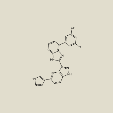 Oc1cc(F)cc(-c2cccc3[nH]c(-c4n[nH]c5ccc(-c6cn[nH]c6)nc45)nc23)c1